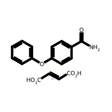 NC(=O)c1ccc(Oc2ccccc2)cc1.O=C(O)/C=C/C(=O)O